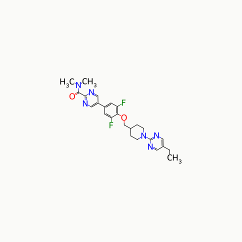 CCc1cnc(N2CCC(COc3c(F)cc(-c4cnc(C(=O)N(C)C)nc4)cc3F)CC2)nc1